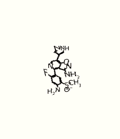 C[S+]([O-])c1cc(-c2ncc(-c3cn[nH]c3)c3onc(N)c23)c(F)cc1N